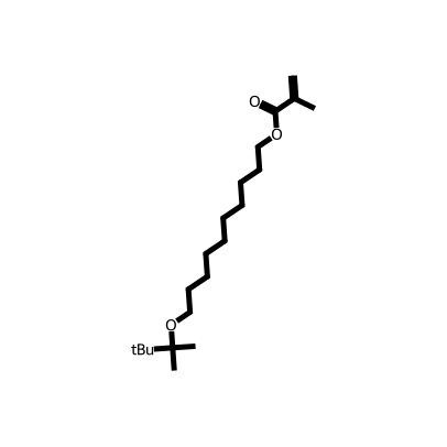 C=C(C)C(=O)OCCCCCCCCCCOC(C)(C)C(C)(C)C